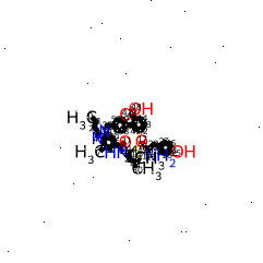 CCCc1nc2c(C)cc(C(=O)N[C@@H](CSC(=O)[C@@H](N)Cc3ccc(O)cc3)CC(C)C)cc2n1Cc1ccc(-c2ccccc2C(=O)O)cc1